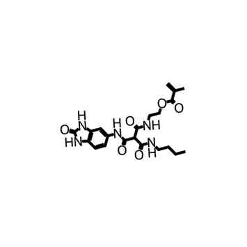 C=C(C)C(=O)OCCNC(=O)C(C(=O)NCCCC)C(=O)Nc1ccc2[nH]c(=O)[nH]c2c1